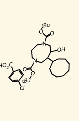 CC(C)(C)OC(=O)N1CCCN(C(=O)OC(C)(C)C)CC(C2CCCCCCCC2)C(O)C1.O=C(O)c1ccc(Cl)cc1